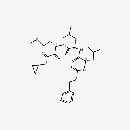 CSCC[C@H](NC(=O)[C@H](CC(C)C)NC(=O)[C@H](CC(C)C)NC(=O)OCc1ccccc1)C(=O)C(=O)NC1CC1